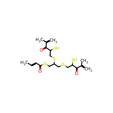 C=C(C)C(=O)C(S)CSCC(CSC(=O)C=CC)SCC(S)C(=O)C(=C)C